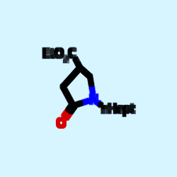 CCCCCCCN1CC(C(=O)OCC)CC1=O